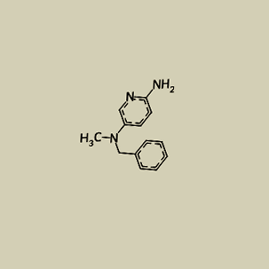 CN(Cc1ccccc1)c1ccc(N)nc1